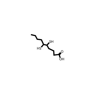 CCCCC(S)C(S)CCCC(=O)O